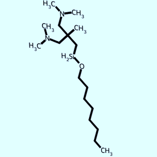 CCCCCCCCO[SiH2]CC(C)(CN(C)C)CN(C)C